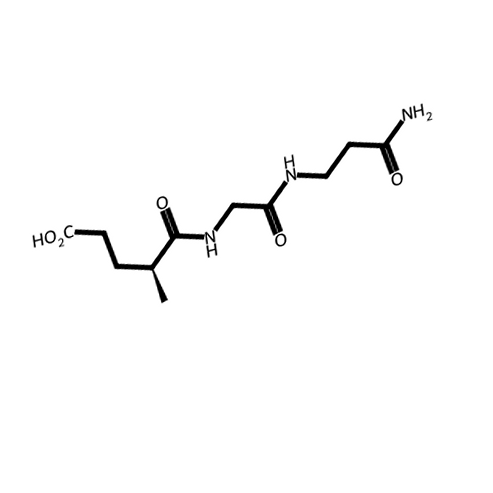 C[C@@H](CCC(=O)O)C(=O)NCC(=O)NCCC(N)=O